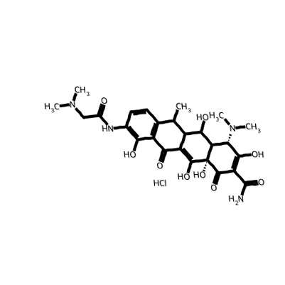 CC1c2ccc(NC(=O)CN(C)C)c(O)c2C(=O)C2=C(O)[C@]3(O)C(=O)C(C(N)=O)=C(O)[C@@H](N(C)C)C3C(O)C21.Cl